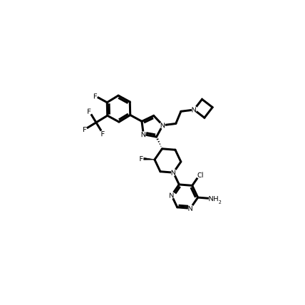 Nc1ncnc(N2CC[C@@H](c3nc(-c4ccc(F)c(C(F)(F)F)c4)cn3CCN3CCC3)[C@H](F)C2)c1Cl